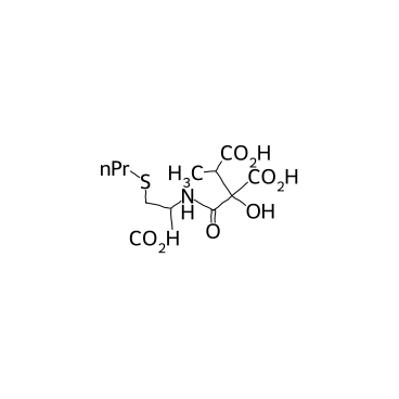 CCCSCC(NC(=O)C(O)(C(=O)O)C(C)C(=O)O)C(=O)O